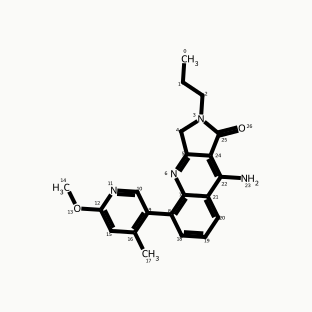 CCCN1Cc2nc3c(-c4cnc(OC)cc4C)cccc3c(N)c2C1=O